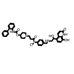 O=C(Nc1ccccc1-c1ccccc1)OC1CCN(CCC(=O)N(Cl)c2ccc(CNCC(O)c3ccc(O)c4[nH]c(=O)ccc34)cc2)CC1